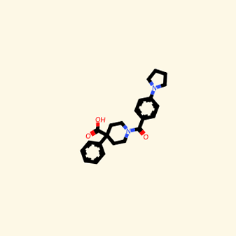 O=C(c1ccc(N2CCCC2)cc1)N1CCC(C(=O)O)(c2ccccc2)CC1